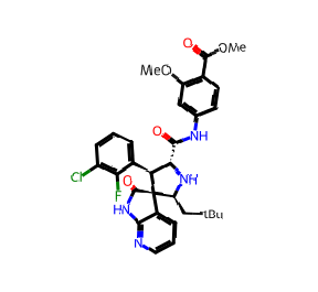 COC(=O)c1ccc(NC(=O)[C@@H]2N[C@@H](CC(C)(C)C)[C@@]3(C(=O)Nc4ncccc43)[C@H]2c2cccc(Cl)c2F)cc1OC